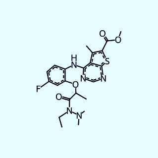 CCN(C(=O)C(C)Oc1cc(F)ccc1Nc1ncnc2sc(C(=O)OC)c(C)c12)N(C)C